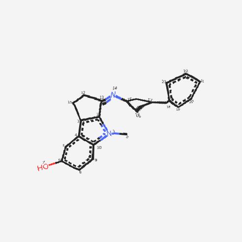 Cn1c2c(c3cc(O)ccc31)CCC2=NC1CC1c1ccccc1